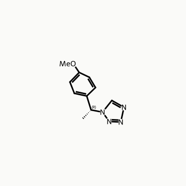 COc1ccc([C@@H](C)n2cnnn2)cc1